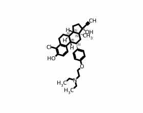 C#C[C@]1(O)CC[C@H]2[C@@H]3CCc4c(ccc(O)c4Cl)[C@H]3[C@@H](c3ccc(OCCN(CC)CC)cc3)C[C@@]21C